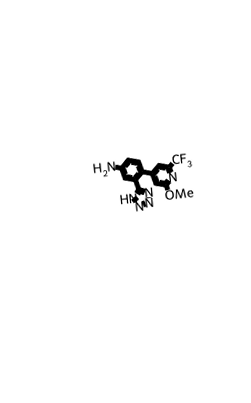 COc1cc(-c2ccc(N)cc2-c2nnn[nH]2)cc(C(F)(F)F)n1